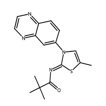 Cc1cn(-c2ccc3nccnc3c2)/c(=N/C(=O)C(C)(C)C)s1